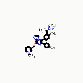 Cc1ccc(-c2c(-c3ccc(C#N)cc3)nc(OC[C@@H]3CCCN(C)C3)c3nccn23)cc1C(C)NC(=O)O